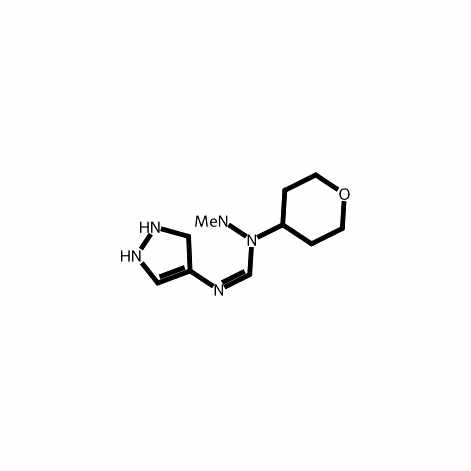 CNN(/C=N\C1=CNNC1)C1CCOCC1